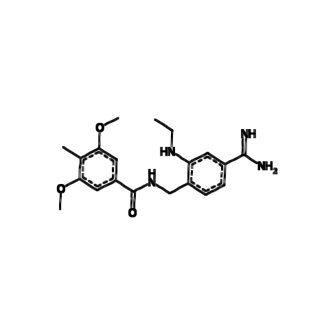 CCNc1cc(C(=N)N)ccc1CNC(=O)c1cc(OC)c(C)c(OC)c1